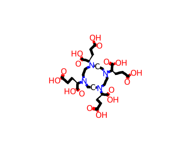 O=C(O)CC[C@H](C(=O)O)N1CCN([C@H](CCC(=O)O)C(=O)O)CCN([C@H](CCC(=O)O)C(=O)O)CCN([C@H](CCC(=O)O)C(=O)O)CC1